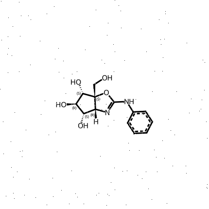 OC[C@@]12OC(Nc3ccccc3)=N[C@@H]1[C@H](O)[C@@H](O)[C@@H]2O